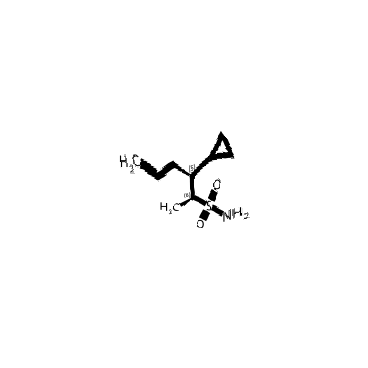 C=CC[C@@H](C1CC1)[C@H](C)S(N)(=O)=O